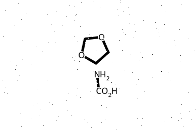 C1COCO1.NC(=O)O